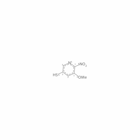 COc1cc(S)cnc1[N+](=O)[O-]